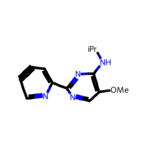 COc1cnc(-c2cc#ccn2)nc1NC(C)C